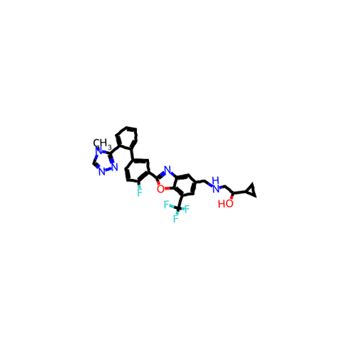 Cn1cnnc1-c1ccccc1-c1ccc(F)c(-c2nc3cc(CNCC(O)C4CC4)cc(C(F)(F)F)c3o2)c1